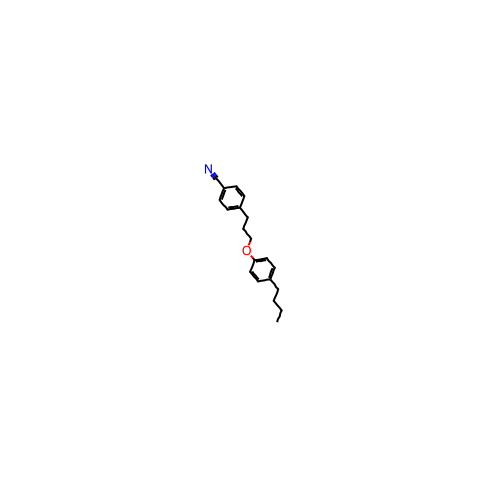 CCCCc1ccc(OCCCc2ccc(C#N)cc2)cc1